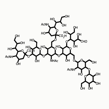 CC(=O)NC1C(OCC2OC(OC(C(O)CO)C(O)C(O)C=O)C(O)C(OC3OC(COC4(C(=O)O)CC(O)C(NC(C)=O)C(C(O)C(O)CO)O4)C(O)C(OC4OC(CO)C(O)C(OC5(C(=O)O)CC(O)C(NC(C)=O)C(C(O)C(O)CO)O5)C4O)C3NC(C)=O)C2O)OC(CO)C(OC2OC(CO)C(O)C(O)C2O)C1O